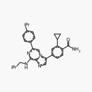 CC(C)CNc1nc(-c2ccc(C(C)C)cc2)cn2c(-c3ccc(C(N)=O)c(C4CC4)c3)cnc12